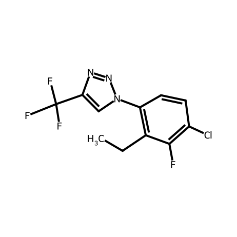 CCc1c(-n2cc(C(F)(F)F)nn2)ccc(Cl)c1F